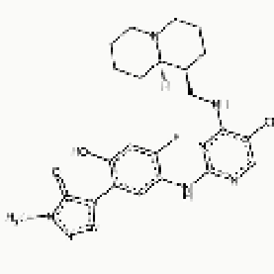 Cn1nnn(-c2cc(Nc3ncc(C#N)c(NC[C@@H]4CCCN5CCCC[C@H]45)n3)c(F)cc2O)c1=O